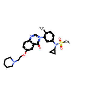 Cc1ccc(N(C2CC2)S(C)(=O)=O)cc1-n1cnc2ccc(OCCN3CCCCC3)cc2c1=O